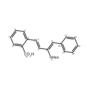 CCCCCCC(C=Nc1ccccc1C(=O)O)=Cc1ccccc1